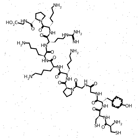 N=C(N)NCCC[C@H](NC(=O)[C@H](CCCCN)NC(=O)[C@H](CCCCN)NC(=O)[C@H](CCCCN)NC(=O)[C@@H]1CCCN1C(=O)CNC(=O)CNC(=O)[C@H](Cc1ccc(O)cc1)NC(=O)[C@H](CS)NC(=O)[C@@H](N)CS)C(=O)N[C@@H](CCCCN)C(=O)N1CCC[C@H]1C(=O)NCC(=O)O